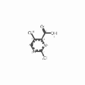 O=C(O)c1nc(Cl)ncc1Cl